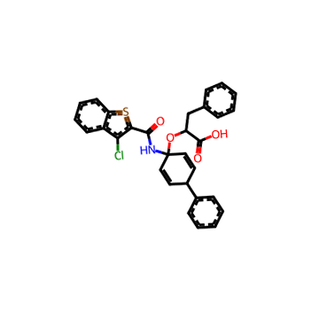 O=C(NC1(OC(Cc2ccccc2)C(=O)O)C=CC(c2ccccc2)C=C1)c1sc2ccccc2c1Cl